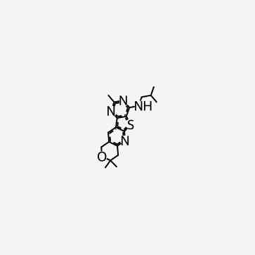 Cc1nc(NCC(C)C)c2sc3nc4c(cc3c2n1)COC(C)(C)C4